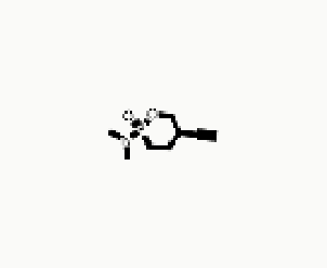 C#CC1CCP(=O)(N(C)C)OC1